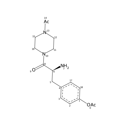 CC(=O)Oc1ccc(C[C@H](N)C(=O)N2CCN(C(C)=O)CC2)cc1